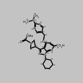 COC(=O)N1CC(c2nn(C3CCCCC3)c3nc(C(=O)O)cc(OCc4cnc(N(C)C)nc4)c23)C1